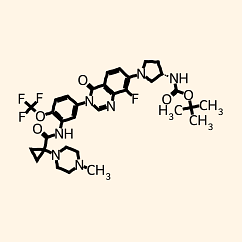 CN1CCN(C2(C(=O)Nc3cc(-n4cnc5c(F)c(N6CC[C@H](NC(=O)OC(C)(C)C)C6)ccc5c4=O)ccc3OC(F)(F)F)CC2)CC1